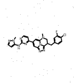 CN1CC(Cc2ccc(Cl)c(F)c2)c2nnc3cc(-c4ccnc(Nc5ccnn5C)n4)cc1n23